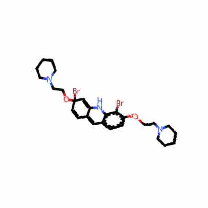 Brc1c(OCCN2CCCCC2)ccc2c1NC1=CC(Br)(OCCN3CCCCC3)C=CC1=C2